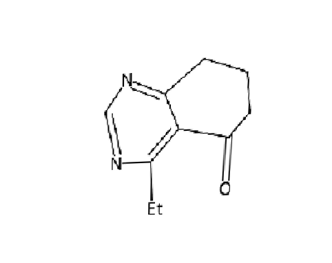 CCc1ncnc2c1C(=O)CCC2